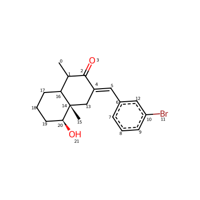 CC1C(=O)/C(=C/c2cccc(Br)c2)C[C@@]2(C)C1CCC[C@@H]2O